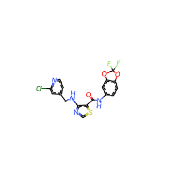 O=C(Nc1ccc2c(c1)OC(F)(F)O2)c1scnc1NCc1ccnc(Cl)c1